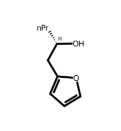 CCC[C@H](O)Cc1ccco1